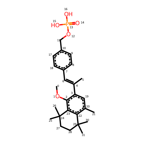 COc1c(C(C)=Cc2ccc(COP(=O)(O)O)cc2)cc(C)c2c1C(C)(C)CCC2(C)C